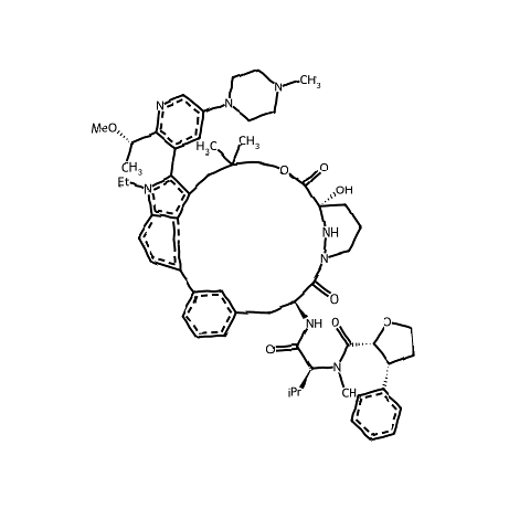 CCn1c(-c2cc(N3CCN(C)CC3)cnc2[C@H](C)OC)c2c3cc(ccc31)-c1cccc(c1)C[C@H](NC(=O)[C@H](C(C)C)N(C)C(=O)[C@@H]1OCC[C@@H]1c1ccccc1)C(=O)N1CCC[C@@](O)(N1)C(=O)OCC(C)(C)C2